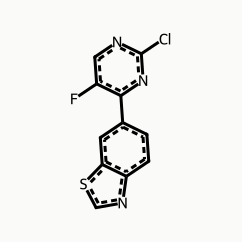 Fc1cnc(Cl)nc1-c1ccc2ncsc2c1